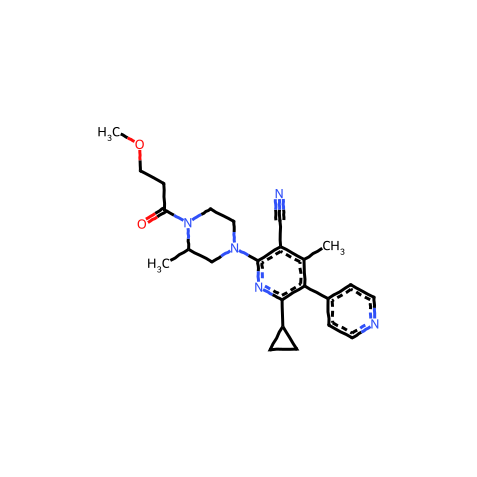 COCCC(=O)N1CCN(c2nc(C3CC3)c(-c3ccncc3)c(C)c2C#N)CC1C